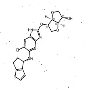 O[C@@H]1CO[C@H]2[C@@H]1OC[C@H]2Oc1nc2nc(NC3CCc4sccc43)c(Cl)cc2[nH]1